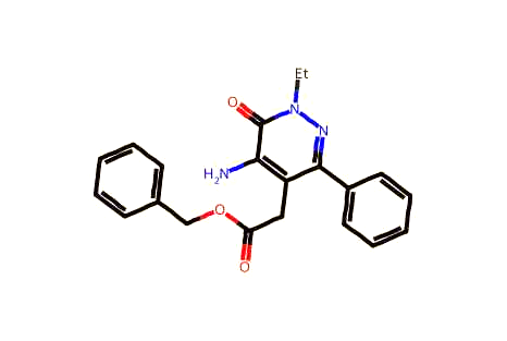 CCn1nc(-c2ccccc2)c(CC(=O)OCc2ccccc2)c(N)c1=O